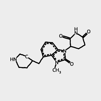 Cn1c(=O)n(C2CCC(=O)NC2=O)c2cccc(CC3CCNCC3)c21